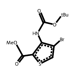 COC(=O)c1scc(Br)c1NC(=O)OC(C)(C)C